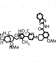 CCC1(C)CC2(C)CC(C)(Cn3ncc(-c4ccc(N5CCc6c(OC)ccc(C(=O)Nc7nc8ccccc8s7)c6C5)nc4C(=O)O)c3C)CC(ONC)(C1)C2